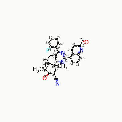 C[C@H]1C(=O)C(C#N)=C[C@@]2(C)c3nc(-c4cccc5nc(C=O)ccc45)nc(-c4ccccc4F)c3CC[C@H]12